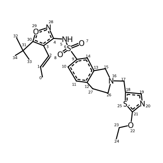 C/C=C/c1c(NS(=O)(=O)c2ccc3c(c2)CN(Cc2cnc(OCC)s2)CC3)noc1C(C)(C)C